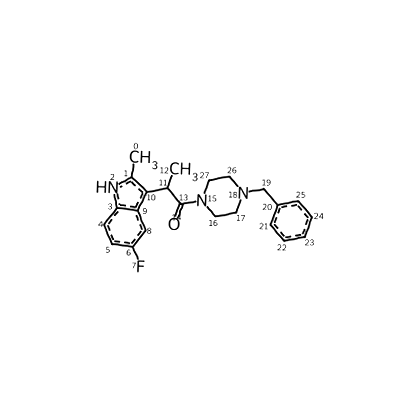 Cc1[nH]c2ccc(F)cc2c1C(C)C(=O)N1CCN(Cc2ccccc2)CC1